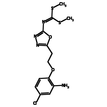 CSC(=Nc1nnc(CCOc2ccc(Cl)cc2N)o1)SC